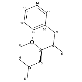 CO[C@H](CC(C)C)C(C)Cc1ccccc1